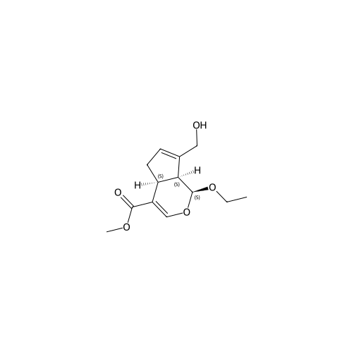 CCO[C@H]1OC=C(C(=O)OC)[C@H]2CC=C(CO)[C@@H]12